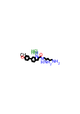 COc1ccc(-c2ccc3cc(C(=O)NC[C@@H](N)CCCN)[nH]c3c2)cc1.Cl.Cl